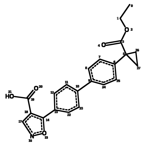 CCOC(=O)C1(c2ccc(-c3ccc(-c4oncc4C(=O)O)cc3)cc2)CC1